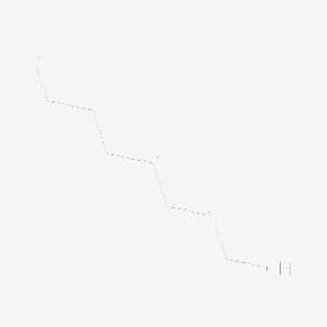 CCSCCCCC[O]